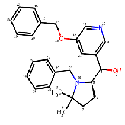 CC1(C)CC[C@H]([C@H](O)c2cncc(OCc3ccccc3)c2)N1Cc1ccccc1